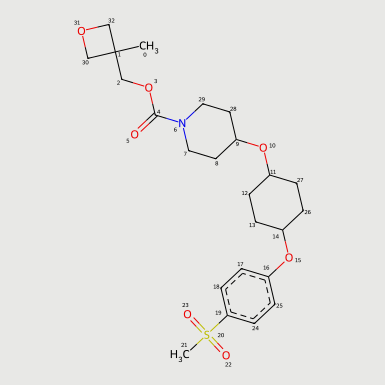 CC1(COC(=O)N2CCC(OC3CCC(Oc4ccc(S(C)(=O)=O)cc4)CC3)CC2)COC1